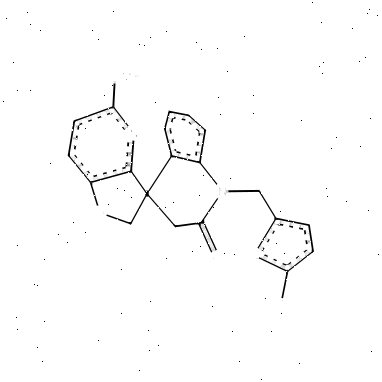 COc1ccc2c(n1)C1(CO2)CC(=O)N(Cc2ccc(Cl)s2)c2ccccc21